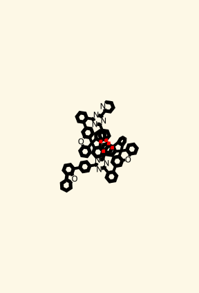 c1ccc(-c2nc(-c3ccc(-c4cccc5c4oc4ccccc45)cc3)nc(-c3ccccc3-c3ccc4c(c3)Oc3ccccc3C43c4ccccc4-c4c(-c5ccc(-c6nc(-c7ccccn7)nc(-c7ccccc7-c7ccc8c(c7)Oc7ccccc7C87c8ccccc8-c8ccccc87)n6)cc5)cccc43)n2)cc1